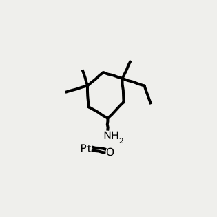 CCC1(C)CC(N)CC(C)(C)C1.[O]=[Pt]